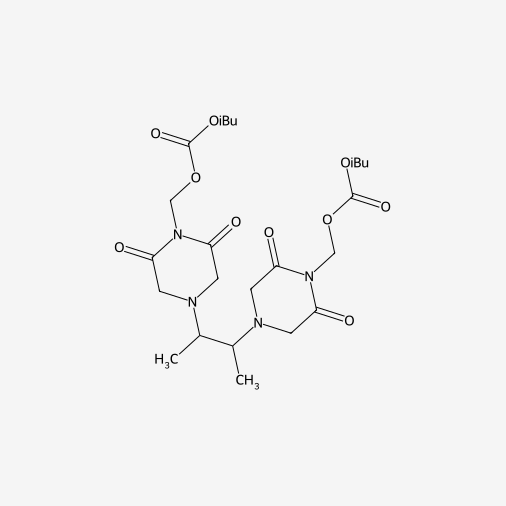 CC(C)COC(=O)OCN1C(=O)CN(C(C)C(C)N2CC(=O)N(COC(=O)OCC(C)C)C(=O)C2)CC1=O